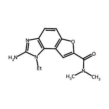 CCn1c(N)nc2ccc3oc(C(=O)N(C)C)cc3c21